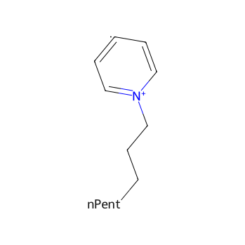 CCCCCCCC[n+]1cc[c]cc1